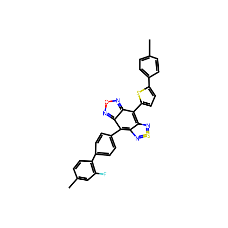 Cc1ccc(-c2ccc(-c3c4c(c(-c5ccc(-c6ccc(C)cc6F)cc5)c5nonc35)N=S=N4)s2)cc1